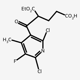 CCOC(=O)C(CCC(=O)O)C(=O)c1c(Cl)nc(Cl)c(F)c1C